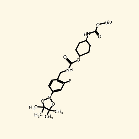 CC(C)(C)OC(=O)N[C@H]1CC[C@H](OC(=O)NCc2ccc(B3OC(C)(C)C(C)(C)O3)cc2F)CC1